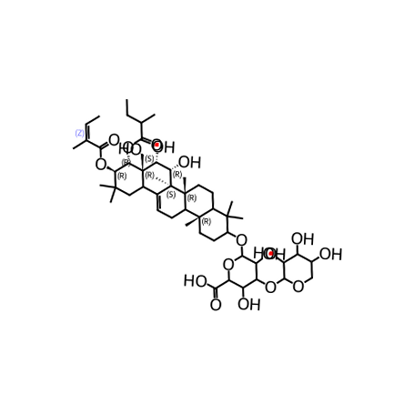 C/C=C(/C)C(=O)O[C@H]1[C@H](OC(=O)C(C)CC)[C@@]2(CO)C(CC1(C)C)C1=CCC3[C@@]4(C)CCC(OC5OC(C(=O)O)C(O)C(OC6OCC(O)C(O)C6O)C5O)C(C)(C)C4CC[C@@]3(C)[C@]1(C)[C@@H](O)[C@H]2O